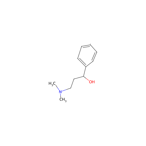 CN(C)CCC(O)c1cc[c]cc1